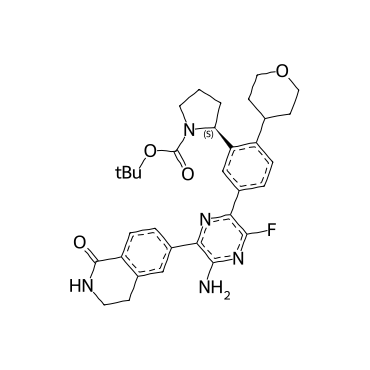 CC(C)(C)OC(=O)N1CCC[C@H]1c1cc(-c2nc(-c3ccc4c(c3)CCNC4=O)c(N)nc2F)ccc1C1CCOCC1